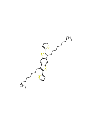 CCCCCCCCc1c(-c2cccs2)sc2cc3c(CCCCCCCC)c(-c4cccs4)sc3cc12